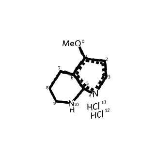 COc1ccnc2c1CCCN2.Cl.Cl